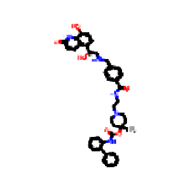 CC1(OC(=O)Nc2ccccc2-c2ccccc2)CCN(CCNC(=O)c2ccc(CNC[C@H](O)c3ccc(O)c4[nH]c(=O)ccc34)cc2)CC1